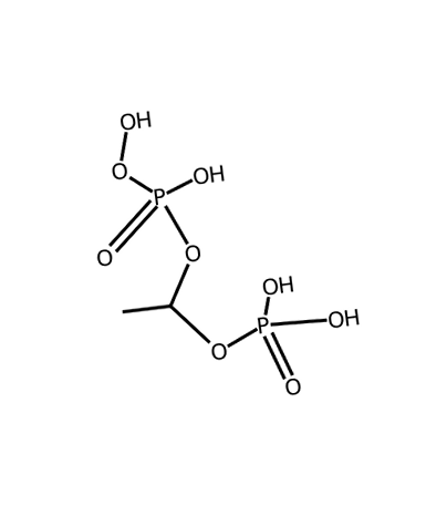 CC(OP(=O)(O)O)OP(=O)(O)OO